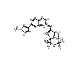 [2H]C1([2H])OC([2H])([2H])C([2H])([2H])N(CC(=O)Nc2ncc3ccc(-c4cnn(C)c4)cc3n2)C1([2H])[2H]